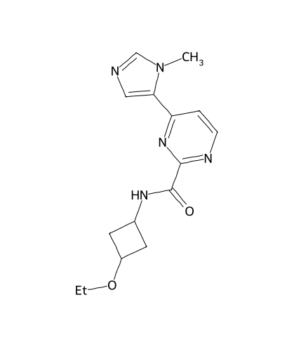 CCOC1CC(NC(=O)c2nccc(-c3cncn3C)n2)C1